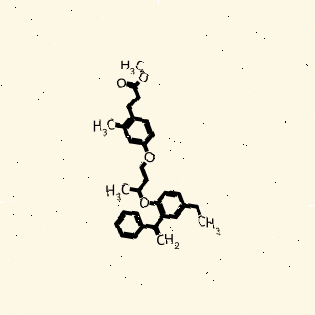 C=C(c1ccccc1)c1cc(CC)ccc1OC(C)CCOc1ccc(CCC(=O)OC)c(C)c1